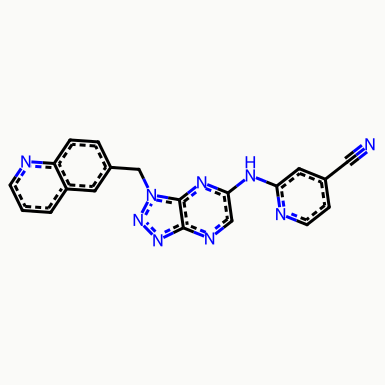 N#Cc1ccnc(Nc2cnc3nnn(Cc4ccc5ncccc5c4)c3n2)c1